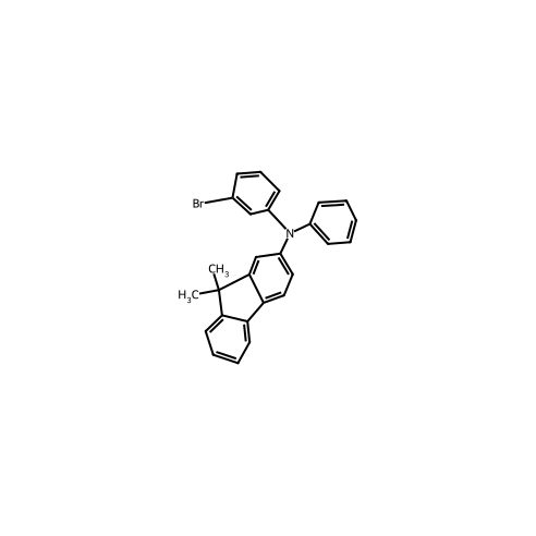 CC1(C)c2ccccc2-c2ccc(N(c3ccccc3)c3cccc(Br)c3)cc21